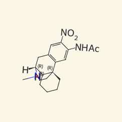 CC(=O)Nc1cc2c(cc1[N+](=O)[O-])C[C@@H]1[C@@H]3CCCC[C@]23CCN1C